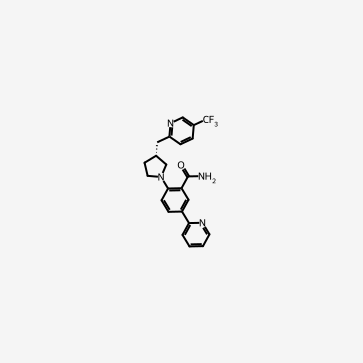 NC(=O)c1cc(-c2ccccn2)ccc1N1CC[C@H](Cc2ccc(C(F)(F)F)cn2)C1